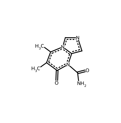 Cc1c(C)n2cncc2n(C(N)=O)c1=O